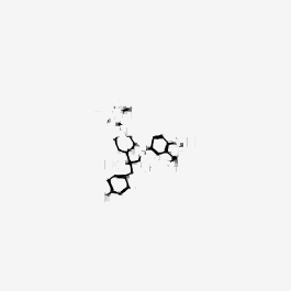 CC(C)(C)OC(=O)N1CCC(C(O)(Cc2ccc(I)cc2)C(=O)Nc2ccc(N)c(C(F)(F)F)c2)CC1